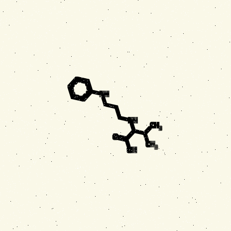 CC(C)C(NCCCNc1ccccc1)C(=O)O